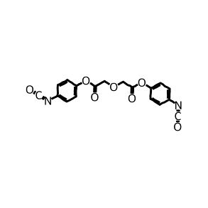 O=C=Nc1ccc(OC(=O)COCC(=O)Oc2ccc(N=C=O)cc2)cc1